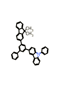 CC1(C)c2ccccc2-c2ccc(-c3cc(-c4ccccc4)cc(-c4ccc5c(c4)c4ccccc4n5-c4ccccc4)c3)cc21